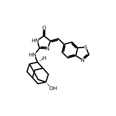 O=C1NC(N[C@H]2C3CC4CC2C[C@](O)(C4)C3)=N/C1=C\c1ccc2ncsc2c1